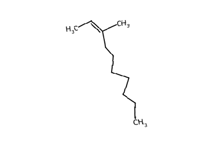 CC=C(C)CCCCCCC